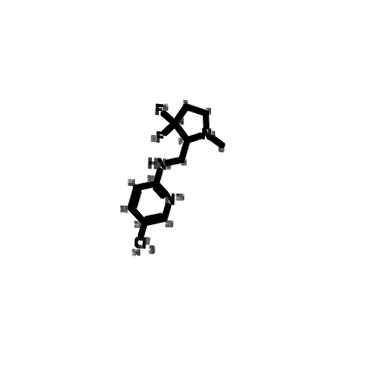 CN1CCC(F)(F)C1CNc1ccc(C(F)(F)F)cn1